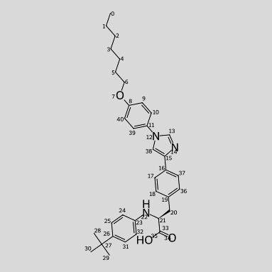 CCCCCCCOc1ccc(-n2cnc(-c3ccc(C[C@H](Nc4ccc(C(C)(C)C)cc4)C(=O)O)cc3)c2)cc1